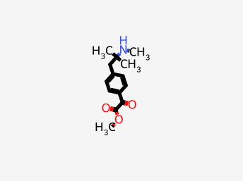 CNC(C)(C)Cc1ccc(C(=O)C(=O)OC)cc1